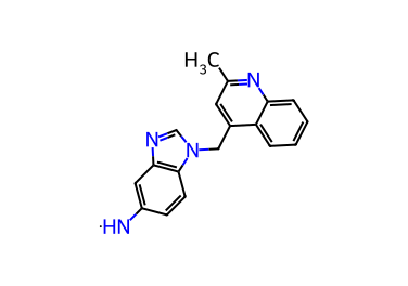 Cc1cc(Cn2cnc3cc([NH])ccc32)c2ccccc2n1